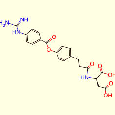 N=C(N)Nc1ccc(C(=O)Oc2ccc(CCC(=O)N[C@H](CC(=O)O)C(=O)O)cc2)cc1